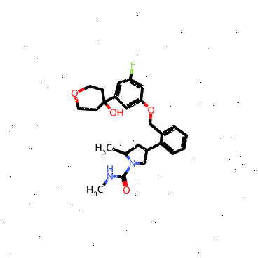 CNC(=O)N1CC(c2ccccc2COc2cc(F)cc(C3(O)CCOCC3)c2)CC1C